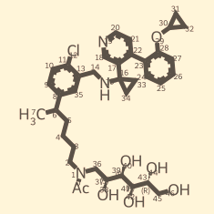 CC(=O)N(CCCCC(C)c1ccc(Cl)c(CNC2(c3cnccc3-c3ccccc3OC3CC3)CC2)c1)C[C@H](O)[C@@H](O)[C@H](O)[C@H](O)CO